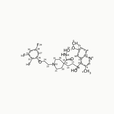 COc1ccc2ncc(C)c([C@H](O)CCC3(C(=O)NO)CCN(CCOc4cc(F)cc(F)c4F)CC3)c2c1